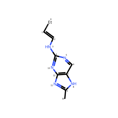 CC/C=C/Nc1ncc2[nH]c(C)nc2n1